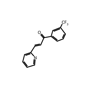 O=C(C=Cc1ccccn1)c1cccc(C(F)(F)F)c1